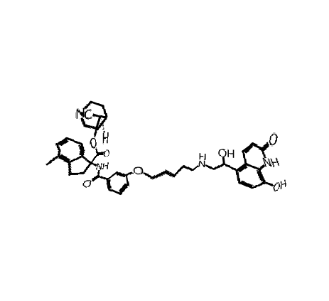 Cc1cccc2c1CCC2(NC(=O)c1cccc(OCCCCCNCC(O)c2ccc(O)c3[nH]c(=O)ccc23)c1)C(=O)O[C@H]1CN2CCC1CC2